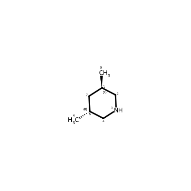 C[C@H]1CNC[C@H](C)C1